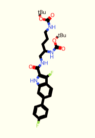 CC(C)(C)OC(=O)NCCCC(CNC(=O)c1[nH]c2cc(-c3ccc(F)cc3)ccc2c1F)NC(=O)OC(C)(C)C